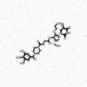 COCCOC1C(OC(=O)CCC(=O)N2CCN(C(=O)c3cc(O)c(O)c(O)c3)CC2)[C@@H](CO)O[C@H]1n1cc(C)c(=O)[nH]c1=O